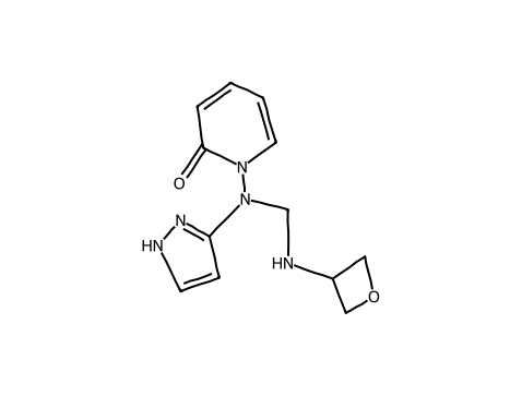 O=c1ccccn1N(CNC1COC1)c1cc[nH]n1